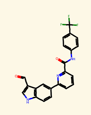 O=Cc1c[nH]c2ccc(-c3cccc(C(=O)Nc4ccc(C(F)(F)F)cc4)n3)cc12